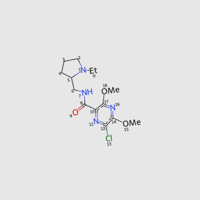 CCN1CCCC1CNC(=O)c1nc(Cl)c(OC)nc1OC